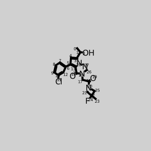 CC(O)c1cc(-c2cccc(Cl)c2)c2c(=O)n(CC(=O)N3CC(C)(F)C3)cnn12